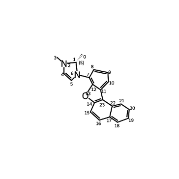 C[C@H]1N(C)C=CN1c1cccc2c1oc1ccc3ccccc3c12